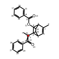 CC1=CC2C(C(C)C)CC1C(OC(=O)c1ccccc1)C2OC(=O)c1ccccc1